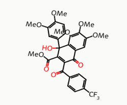 COC(=O)C1=C(C(=O)c2ccc(C(F)(F)F)cc2)C(=O)c2cc(OC)c(OC)c(OC)c2C1(O)c1ccc(OC)c(OC)c1